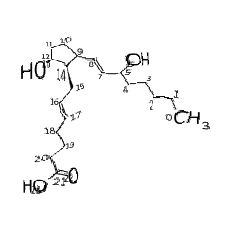 CCCCCC(O)C=CC1CC[C@H](O)[C@@H]1CC=CCCCC(=O)O